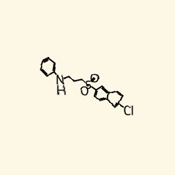 O=S(=O)(CCCNc1ccccc1)c1ccc2cc(Cl)ccc2c1